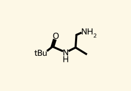 CC(CN)NC(=O)C(C)(C)C